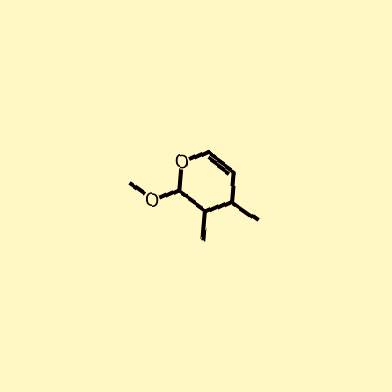 COC1OC=CC(C)C1C